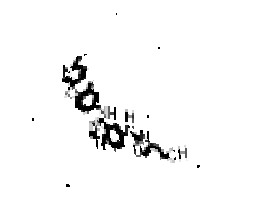 Cc1ccc(Oc2ccc(Nc3ncnc4ccc(NC5=NC(CCO)CO5)cc34)cc2C)cn1